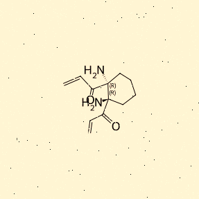 C=CC(=O)[C@@]1(N)CCCC[C@]1(N)C(=O)C=C